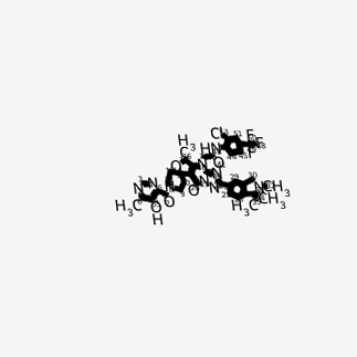 Cc1ncnc(C(=O)N2CCC3(CC2)O[C@@H](C)c2c3c(=O)n3nc(-c4ccc5c(c4)CN(C)C5(C)C)nc3n2CC(=O)Nc2ccc(C(F)(F)F)cc2Cl)c1O